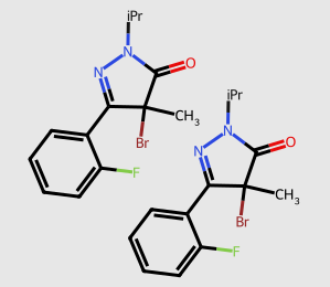 CC(C)N1N=C(c2ccccc2F)C(C)(Br)C1=O.CC(C)N1N=C(c2ccccc2F)C(C)(Br)C1=O